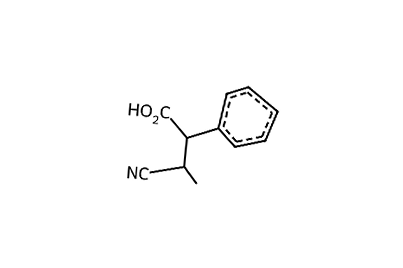 CC(C#N)C(C(=O)O)c1ccccc1